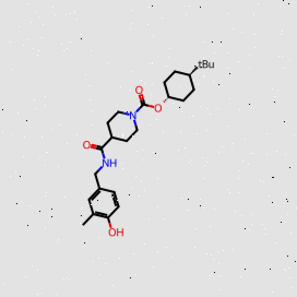 Cc1cc(CNC(=O)C2CCN(C(=O)O[C@H]3CC[C@H](C(C)(C)C)CC3)CC2)ccc1O